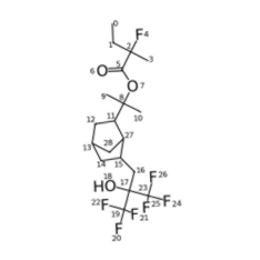 CCC(C)(F)C(=O)OC(C)(C)C1CC2CC(CC(O)(C(F)(F)F)C(F)(F)F)C1C2